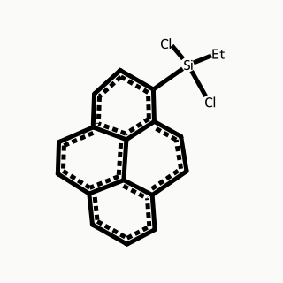 CC[Si](Cl)(Cl)c1ccc2ccc3cccc4ccc1c2c34